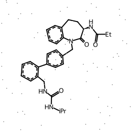 CCC(=O)N[C@@H]1CCc2ccccc2N(Cc2ccc(-c3ccccc3CNC(=O)NC(C)C)cc2)C1=O